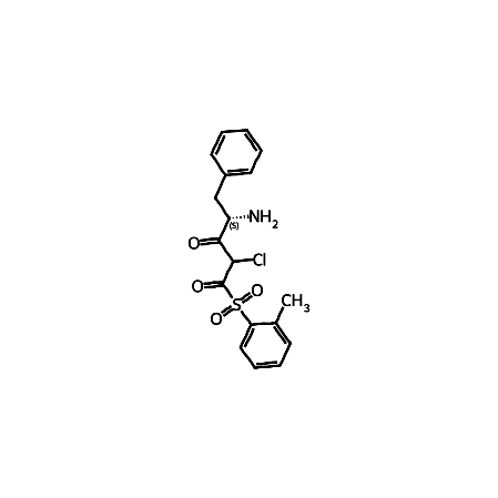 Cc1ccccc1S(=O)(=O)C(=O)C(Cl)C(=O)[C@@H](N)Cc1ccccc1